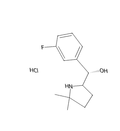 CC1(C)CCC([C@@H](O)c2cccc(F)c2)N1.Cl